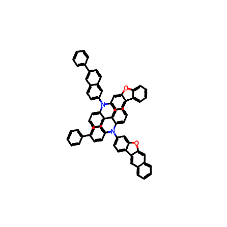 c1ccc(-c2ccc(N(c3ccc4c(c3)oc3cc5ccccc5cc34)c3ccccc3-c3ccccc3N(c3ccc4cc(-c5ccccc5)ccc4c3)c3ccc4c(c3)oc3ccccc34)cc2)cc1